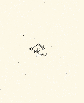 O=C[O-].[Na+].[PbH2]